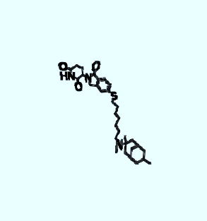 CC1CC2CC(C1)CC(C)(N(C)CCCCCCCSc1ccc3c(c1)CN(C1CCC(=O)NC1=O)C3=O)C2